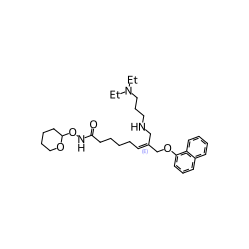 CCN(CC)CCCNC/C(=C\CCCCC(=O)NOC1CCCCO1)COc1cccc2ccccc12